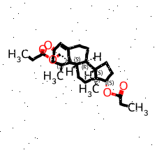 CCC(=O)OC[C@@]12C(=CC(=O)C[C@@H]1C)CC[C@H]1[C@@H]3CC[C@H](OC(=O)CC)[C@@]3(C)CC[C@@H]12